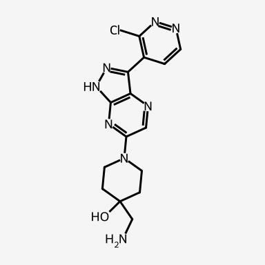 NCC1(O)CCN(c2cnc3c(-c4ccnnc4Cl)n[nH]c3n2)CC1